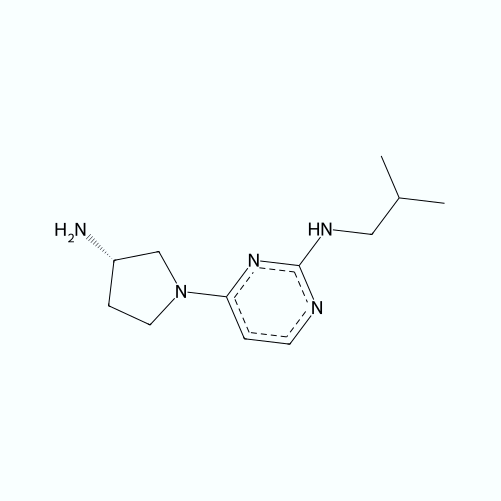 CC(C)CNc1nccc(N2CC[C@H](N)C2)n1